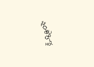 CCC(Oc1ccccc1CC=CC(C)O)c1coc(-c2ccc(C(F)(F)F)cc2)n1